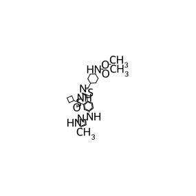 Cc1cc(Nc2ccc(-c3cnc(C4CCC(NC(=O)OC(C)C)CC4)s3)c(S(=N)(=O)C3CCC3)c2)n[nH]1